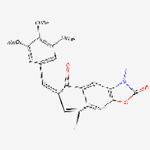 COc1cc(C=C2C=C(C)c3cc4oc(=O)n(C)c4cc3C2=O)cc(OC)c1OC